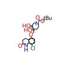 CC(C)(C)OC(=O)N1CC[C@](O)(COc2ccc(Cl)c3c2CCC(=O)N3)[C@@H](O)C1